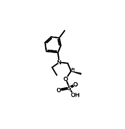 CCN(C[C@@H](C)OS(=O)(=O)O)c1cccc(C)c1